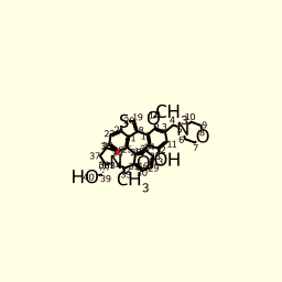 COc1c(CN2CCOCC2)cc(O)c(C=O)c1-c1csc2cccc(-c3ccccc3C(C)N3CCC[C@H]3CO)c12